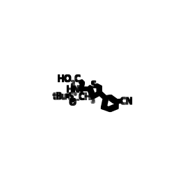 CC(C)(C)[S+]([O-])N[C@@](C)(CC(=O)O)c1cc(-c2cccc(C#N)c2)cs1